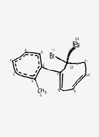 Cc1ccccc1C1=CC=CCC1(Br)Br